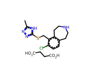 Cc1nnc(SCc2c(Cl)ccc3c2CCNCC3)[nH]1.O=C(O)CCC(=O)O